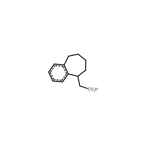 O=C(O)CC1CCCCc2ccccc21